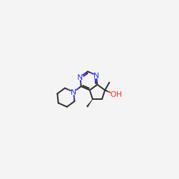 C[C@@H]1CC(C)(O)c2ncnc(N3CCCCC3)c21